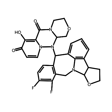 O=C1c2c(O)c(=O)ccn2N(C2c3ccc(F)c(F)c3CN3c4c(cccc42)C2CCOC23)C2COCCN12